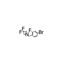 Fc1cc(Br)ccc1CN1CC(F)(F)C1